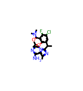 Cc1nc(C(C)c2cc(Cl)c(F)c(C(=O)N(C)C)c2OC(C)C)n2ccnc(N)c12